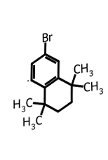 CC1(C)CCC(C)(C)c2cc(Br)c[c]c21